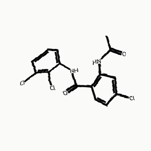 CC(=O)Nc1cc(Cl)ccc1C(=O)Nc1cccc(Cl)c1Cl